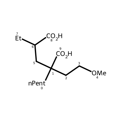 CCCCCC(CCOC)(CC(CC)C(=O)O)C(=O)O